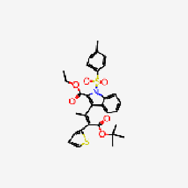 CCOC(=O)c1c(C(C)=C(C(=O)OC(C)(C)C)c2cccs2)c2ccccc2n1S(=O)(=O)c1ccc(C)cc1